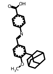 COc1ccc(C=Nc2ccc(C(=O)O)cc2)cc1C12CC3CC(CC(C3)C1)C2